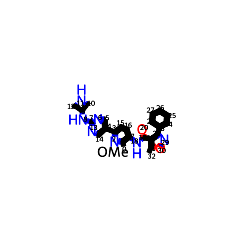 COc1nc(-c2cnc(NC3CNC3)nc2)ccc1NC(=O)c1c(-c2ccccc2)noc1C